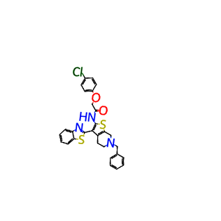 O=C(COc1ccc(Cl)cc1)Nc1sc2c(c1-c1nc3ccccc3s1)CCN(Cc1ccccc1)C2